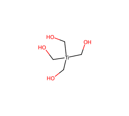 O[CH2][Ti]([CH2]O)([CH2]O)[CH2]O